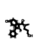 CN(CCCO)C(=O)c1c2ccc(Cl)cc2c(-c2ccccc2)n1C